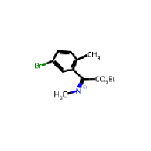 CCOC(=O)/C(=N/C)c1cc(Br)ccc1C